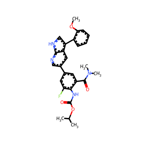 COc1ccccc1-c1c[nH]c2ncc(-c3cc(F)c(NC(=O)OC(C)C)c(C(=O)N(C)C)c3)cc12